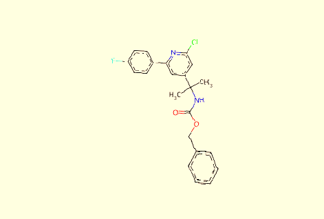 CC(C)(NC(=O)OCc1ccccc1)c1cc(Cl)nc(-c2ccc(F)cc2)c1